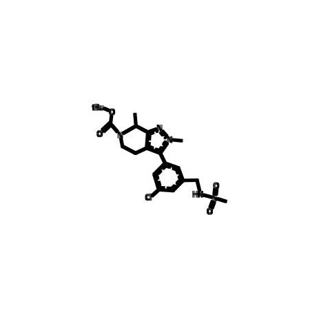 CC1c2nn(C)c(-c3cc(Cl)cc(CNS(C)(=O)=O)c3)c2CCN1C(=O)OC(C)(C)C